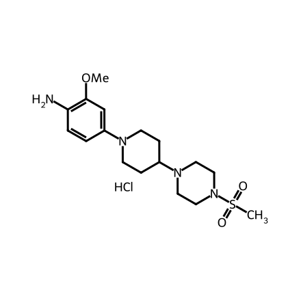 COc1cc(N2CCC(N3CCN(S(C)(=O)=O)CC3)CC2)ccc1N.Cl